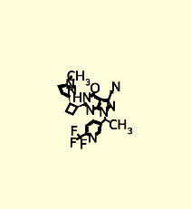 C[C@@H](c1ccc(C(F)(F)F)nc1)n1nc(C#N)c2c(=O)[nH]c([C@H]3CC[C@@H]3c3ccn(C)n3)nc21